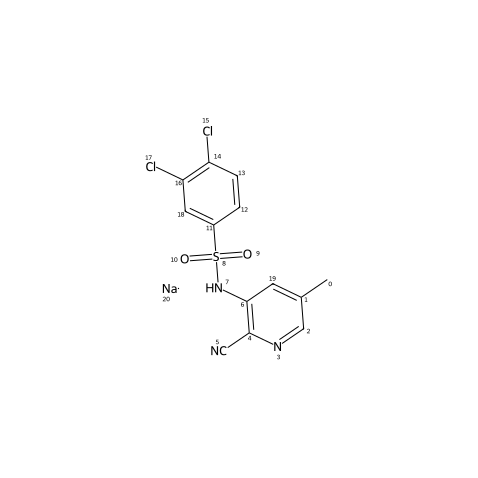 Cc1cnc(C#N)c(NS(=O)(=O)c2ccc(Cl)c(Cl)c2)c1.[Na]